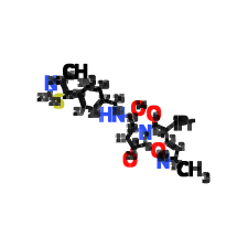 Cc1cc(C(C(=O)N2CC(=O)CC2C(=O)NCc2ccc(-c3scnc3C)cc2)C(C)C)on1